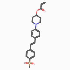 C=CC(=O)OC1CCN(c2ccc(C=Cc3ccc(S(C)(=O)=O)cc3)cc2)CC1